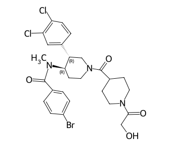 CN(C(=O)c1ccc(Br)cc1)[C@@H]1CCN(C(=O)C2CCN(C(=O)CO)CC2)C[C@H]1c1ccc(Cl)c(Cl)c1